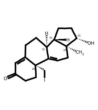 C[C@]12CC=C3[C@@H](CCC4=CC(=O)CC[C@@]43CI)[C@@H]1CC[C@@H]2O